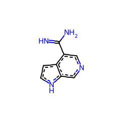 N=C(N)c1cncc2[nH]ccc12